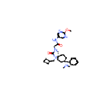 COc1ncc(NC(=O)CN2C[C@]3(CC[C@@](c4ccccc4)(N(C)C)CC3)N(CC3CCC3)C2=O)cn1